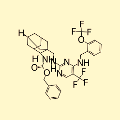 O=C(N[C@H]1C2CC3C[C@@H](C2)CC1(CNc1ncc(C(F)(F)F)c(NCc2ccccc2OC(F)(F)F)n1)C3)OCc1ccccc1